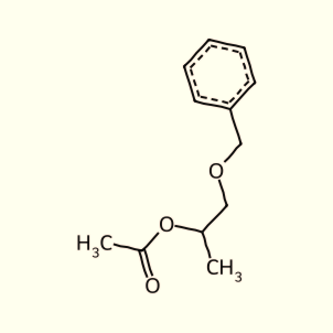 CC(=O)OC(C)COCc1ccccc1